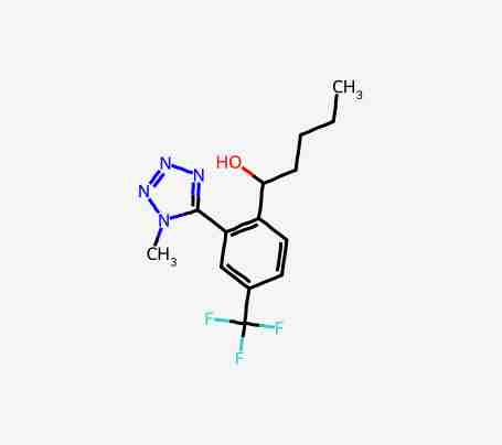 CCCCC(O)c1ccc(C(F)(F)F)cc1-c1nnnn1C